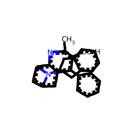 Cc1nc2c3cc(cc2c(-c2ccccc2)c1C(=O)O)N3C1Cc2ccccc2C1